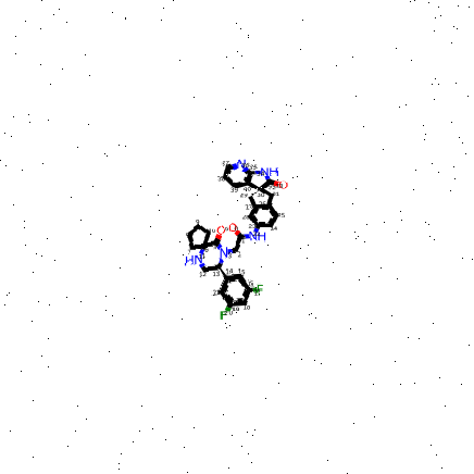 O=C(CN1C(=O)C2(CCCC2)NC[C@@H]1c1cc(F)cc(F)c1)Nc1ccc2c(c1)C[C@@]1(C2)C(=O)Nc2ncccc21